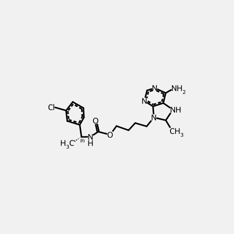 CC1Nc2c(N)ncnc2N1CCCCOC(=O)N[C@H](C)c1cccc(Cl)c1